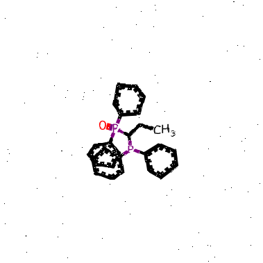 CCC(P(c1ccccc1)c1ccccc1)P(=O)(c1ccccc1)c1ccccc1